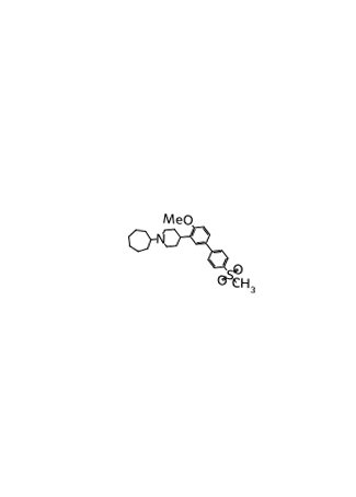 COc1ccc(-c2ccc(S(C)(=O)=O)cc2)cc1C1CCN(C2CCCCCC2)CC1